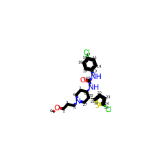 COCCCN1CC[C@@H](NC(=O)Nc2ccc(Cl)cc2)[C@H](c2ccc(Cl)s2)C1